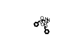 O=C(OCc1ccccc1)c1nncn1C(=O)OCc1ccccc1